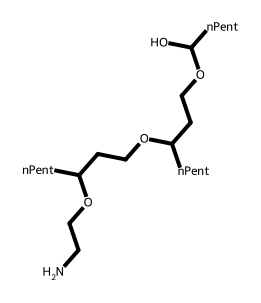 CCCCCC(O)OCCC(CCCCC)OCCC(CCCCC)OCCN